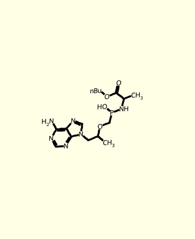 CCCCOC(=O)C(C)NP(O)COC(C)Cn1cnc2c(N)ncnc21